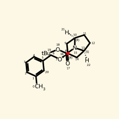 Cc1cccc(CO[C@H]2C[C@H]3CC[C@@H](C2)N3C(=O)OC(C)(C)C)c1